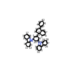 C1=CC2=C(C3=CC(N4C5=C(CCC=C5)C5CCC=CC54)CC(n4c5c(c6ccccc64)CCC=C5)=C3)C=CC(C3=CCCC=C3)C2C=C1